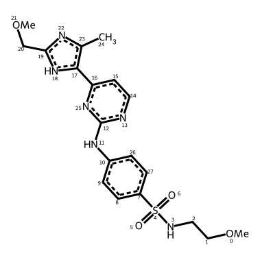 COCCNS(=O)(=O)c1ccc(Nc2nccc(-c3[nH]c(COC)nc3C)n2)cc1